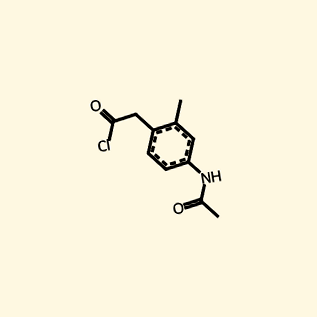 CC(=O)Nc1ccc(CC(=O)Cl)c(C)c1